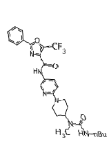 CCCCNC(=O)N(C)C1CCN(c2ccc(NC(=O)c3nc(-c4ccccc4)oc3C(F)(F)F)cn2)CC1